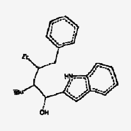 CC[C](Cc1ccccc1)C(C(C)CC)C(O)c1cc2ccccc2[nH]1